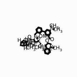 COc1c(CN2O[C@@H](CO)[C@H]([C@H](C)O)[C@H]2C(=O)N[C@H]2C[C@H]3C[C@@H]([C@@H]2C)C3(C)C)cccc1-c1cc(C(=O)OC(Cc2ccccc2)CN(C)C)cc(N(C)C)c1